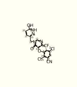 N#Cc1cc(Cl)cc(Oc2c(C(F)(F)F)ncn(CC3=NNC(O)C=C3)c2=O)c1Cl